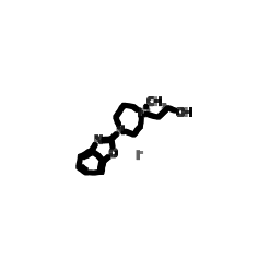 C[N+]1(CCO)CCCN(c2nc3ccccc3o2)CC1.[I-]